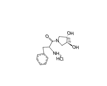 Cl.NC(Cc1ccccc1)C(=O)N1C[C@H](O)[C@@H](O)C1